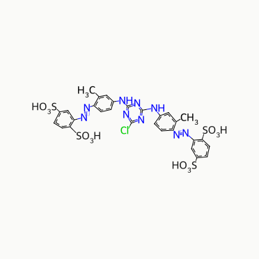 Cc1cc(Nc2nc(Cl)nc(Nc3ccc(/N=N/c4cc(S(=O)(=O)O)ccc4S(=O)(=O)O)c(C)c3)n2)ccc1/N=N/c1cc(S(=O)(=O)O)ccc1S(=O)(=O)O